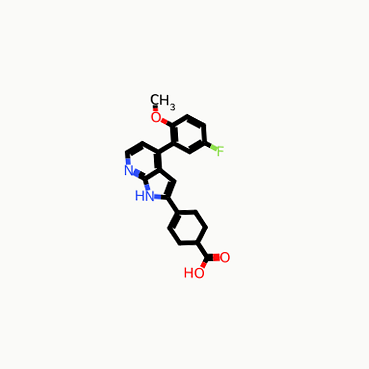 COc1ccc(F)cc1-c1ccnc2[nH]c(C3=CCC(C(=O)O)CC3)cc12